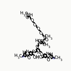 C/C=C1\C[C@H]2C=Nc3cc(OCc4cc(OCCN(C)CC(C)(C)SCC(=O)N(C)CCOCCOCCOCCOCCC(=O)NC)cc(COc5cc6c(cc5CO)C(=O)N5C/C(=C/C)C[C@H]5C=N6)n4)c(CO)cc3C(=O)N2C1